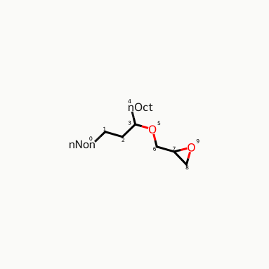 CCCCCCCCCCCC(CCCCCCCC)OCC1CO1